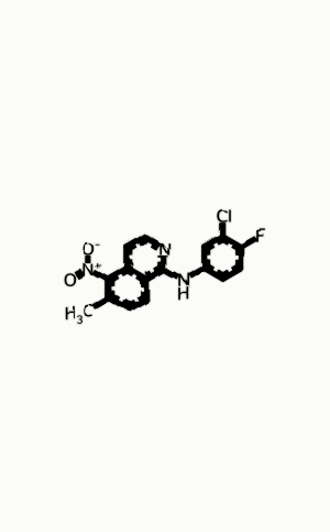 Cc1ccc2c(Nc3ccc(F)c(Cl)c3)nccc2c1[N+](=O)[O-]